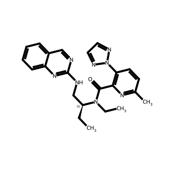 CC[C@@H](CNc1ncc2ccccc2n1)N(CC)C(=O)c1nc(C)ccc1-n1nccn1